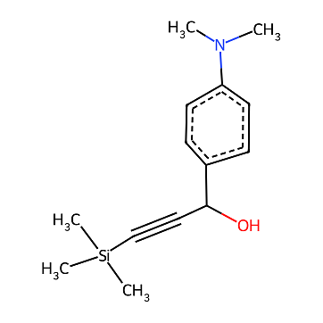 CN(C)c1ccc(C(O)C#C[Si](C)(C)C)cc1